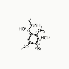 COc1cc([C@H](O)[C@@H](C)N)c(OC)cc1Br.Cl